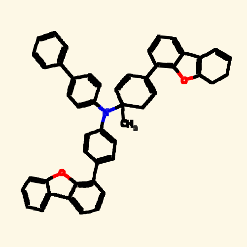 CC1(N(c2ccc(-c3ccccc3)cc2)c2ccc(-c3cccc4c3oc3ccccc34)cc2)C=CC(c2cccc3c4c(oc23)CCC=C4)=CC1